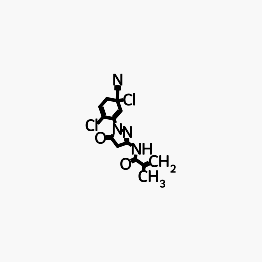 C=C(C)C(=O)NC1=NN(C2=CC(Cl)(C#N)CC=C2Cl)C(=O)C1